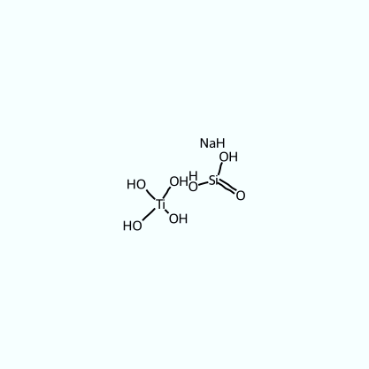 O=[Si](O)O.[NaH].[OH][Ti]([OH])([OH])[OH]